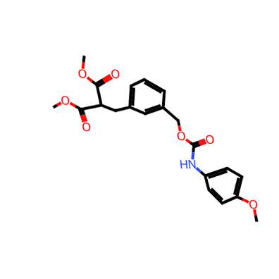 COC(=O)C(Cc1cccc(COC(=O)Nc2ccc(OC)cc2)c1)C(=O)OC